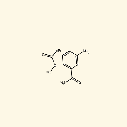 CCCC(=O)OC#N.NC(=O)c1cccc(N)c1